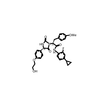 COc1ccc(C[C@@H](C(=O)Nc2ccc(C3CC3)cc2F)N2C(=O)N[C@H](c3ccc(OCCO)cc3)C2=O)cc1